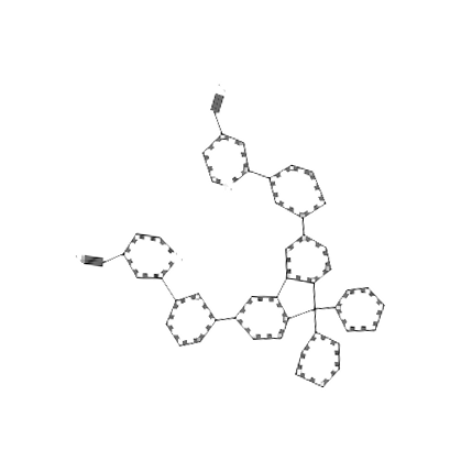 N#Cc1ccnc(-c2cccc(-c3ccc4c(c3)-c3cc(-c5cccc(-c6cc(C#N)ccn6)c5)ccc3C4(c3ccccc3)c3ccccc3)c2)c1